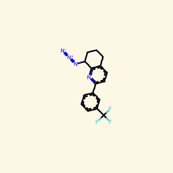 [N-]=[N+]=NC1CCCc2ccc(-c3cccc(C(F)(F)F)c3)nc21